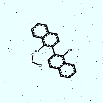 Oc1c(-c2ccc3ccccc3c2O)ccc2ccccc12.[Cl][Ti][Cl]